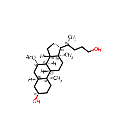 CC(=O)O[C@H]1C[C@@H]2C[C@H](O)CC[C@]2(C)[C@H]2CC[C@]3(C)[C@@H]([C@H](C)CCCO)CC[C@H]3[C@H]12